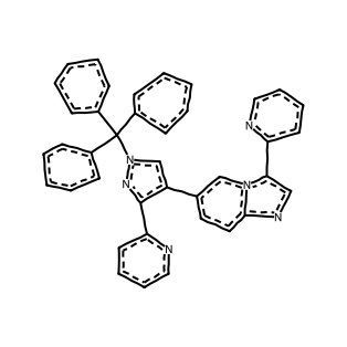 c1ccc(C(c2ccccc2)(c2ccccc2)n2cc(-c3ccc4ncc(-c5ccccn5)n4c3)c(-c3ccccn3)n2)cc1